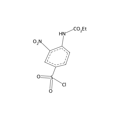 CCOC(=O)Nc1ccc(S(=O)(=O)Cl)cc1[N+](=O)[O-]